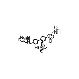 CC(=O)NC[C@H]1CN(c2ccc(-c3ccc(CNCc4cnn[nH]4)cc3)c(F)c2)C(=O)O1.CCS(=O)(=O)O